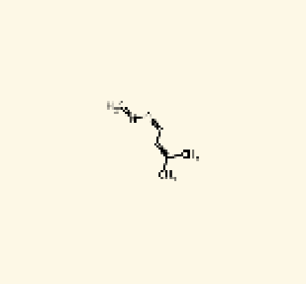 C=N/N=C\C=C(C)C